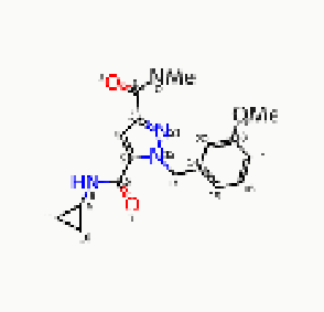 CNC(=O)c1cc(C(=O)NC2CC2)n(Cc2cccc(OC)c2)n1